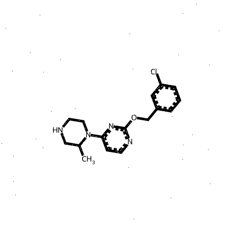 CC1CNCCN1c1ccnc(OCc2cccc(Cl)c2)n1